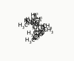 CCn1nccc1C(=O)N[C@H](C(=O)Nc1ccc([C@H](C)[C@@H](NC(=O)[C@H](C)OC)C(=O)N2CCN(C)CC2)cc1F)C(C1CC1)C1CC1